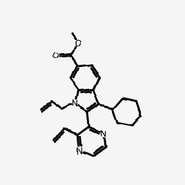 C=CCn1c(-c2nccnc2C=C)c(C2CCCCC2)c2ccc(C(=O)OC)cc21